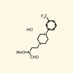 CON(C=O)CCN1CCN(c2cccc(C(F)(F)F)c2)CC1.Cl